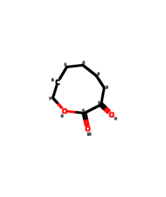 O=C1CCCCCCOC1=O